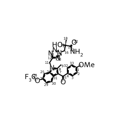 COc1ccc(C(=O)c2c(C)n(Cc3nnn(C[C@](C)(O)C(N)=O)n3)c3cc(OC(F)(F)F)ccc23)cc1